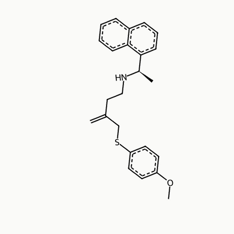 C=C(CCN[C@H](C)c1cccc2ccccc12)CSc1ccc(OC)cc1